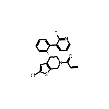 C=CC(=O)N1Cc2sc(Cl)cc2[C@H](c2ccccc2-c2cccnc2F)C1